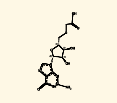 Nc1nc2c(ncn2[C@@H]2O[C@H](COCC(=O)O)[C@@H](O)[C@H]2O)c(=O)[nH]1